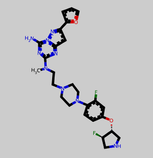 CN(CCN1CCN(c2ccc(O[C@@H]3CNC[C@H]3F)cc2F)CC1)c1nc(N)n2nc(-c3ccco3)cc2n1